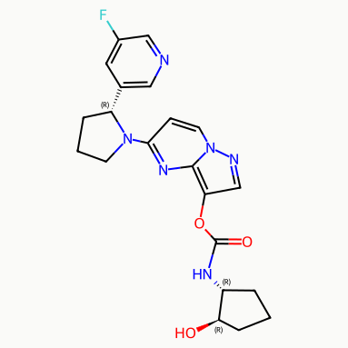 O=C(N[C@@H]1CCC[C@H]1O)Oc1cnn2ccc(N3CCC[C@@H]3c3cncc(F)c3)nc12